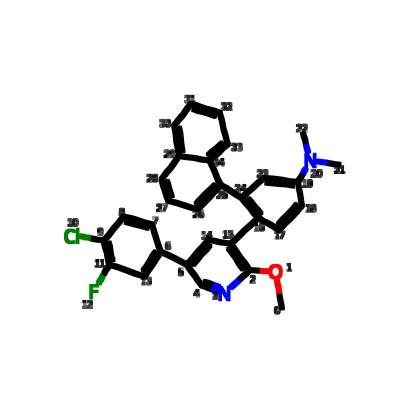 COc1ncc(-c2ccc(Cl)c(F)c2)cc1-c1ccc(N(C)C)cc1-c1cccc2ccccc12